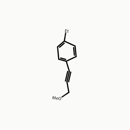 CCc1ccc(C#CCOC)cc1